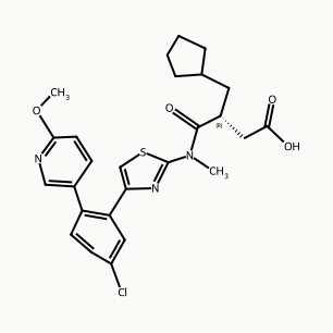 COc1ccc(-c2ccc(Cl)cc2-c2csc(N(C)C(=O)[C@@H](CC(=O)O)CC3CCCC3)n2)cn1